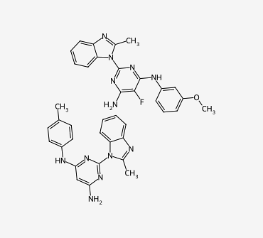 COc1cccc(Nc2nc(-n3c(C)nc4ccccc43)nc(N)c2F)c1.Cc1ccc(Nc2cc(N)nc(-n3c(C)nc4ccccc43)n2)cc1